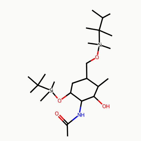 CC(=O)NC1C(O[Si](C)(C)C(C)(C)C)CC(CO[Si](C)(C)C(C)(C)C(C)C)C(C)C1O